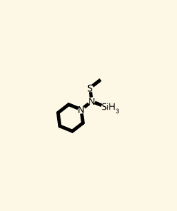 CSN([SiH3])N1CCCCC1